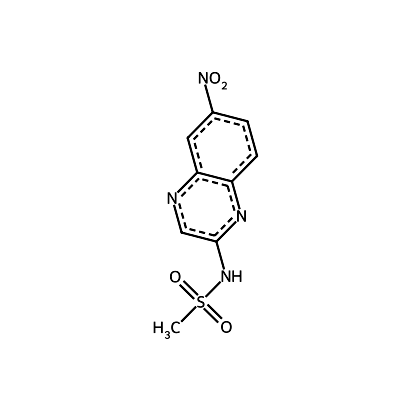 CS(=O)(=O)Nc1cnc2cc([N+](=O)[O-])ccc2n1